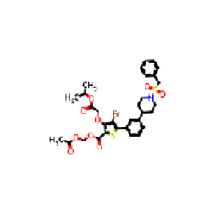 CC(=O)OCOC(=O)c1sc(-c2cccc(C3CCN(S(=O)(=O)Cc4ccccc4)CC3)c2)c(Br)c1OCC(=O)OC(C)C